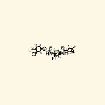 Cc1cc(C(=O)NC23CCC(NC(=O)COc4ccc(Cl)c(Cl)c4)(CC2)C(=O)N3)on1